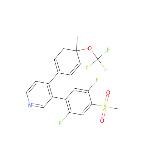 CC1(OC(F)(F)F)C=CC(c2ccncc2-c2cc(F)c(S(C)(=O)=O)cc2F)=CC1